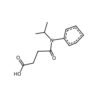 CC(C)N(C(=O)CCC(=O)O)c1ccccc1